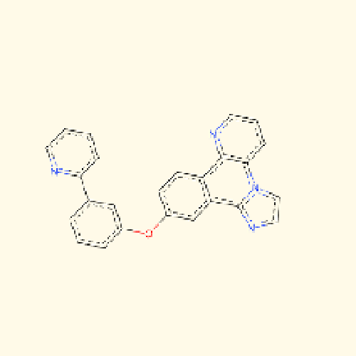 c1ccc(-c2cccc(Oc3ccc4c(c3)c3nccn3c3cccnc43)c2)nc1